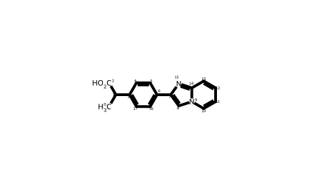 CC(C(=O)O)c1ccc(-c2cn3ccccc3n2)cc1